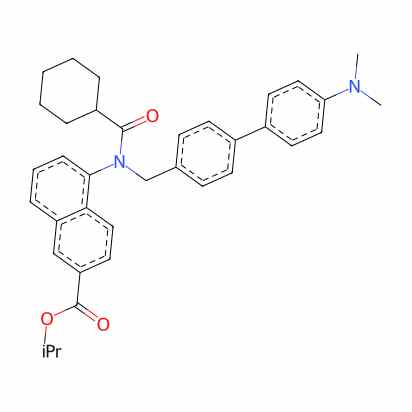 CC(C)OC(=O)c1ccc2c(N(Cc3ccc(-c4ccc(N(C)C)cc4)cc3)C(=O)C3CCCCC3)cccc2c1